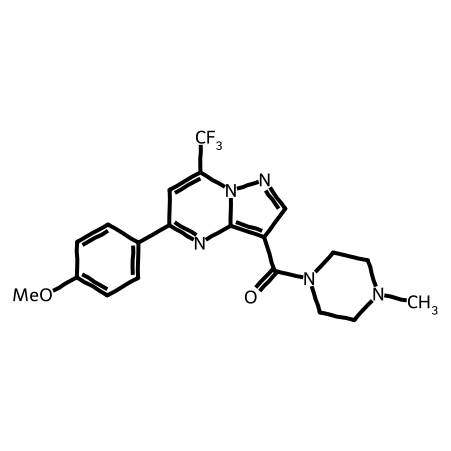 COc1ccc(-c2cc(C(F)(F)F)n3ncc(C(=O)N4CCN(C)CC4)c3n2)cc1